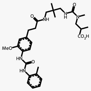 COc1cc(CCC(=O)NCC(C)(C)CNC(=O)N(C)CC(C)C(=O)O)ccc1NC(=O)Nc1ccccc1C